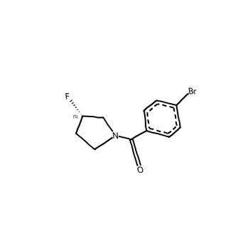 O=C(c1ccc(Br)cc1)N1CC[C@H](F)C1